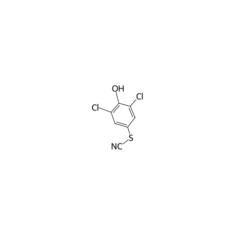 N#CSc1cc(Cl)c(O)c(Cl)c1